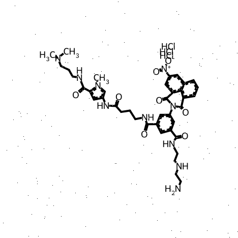 CN(C)CCCNC(=O)c1cc(NC(=O)CCCNC(=O)c2cc(C(=O)NCCNCCN)cc(N3C(=O)c4cccc5cc([N+](=O)[O-])cc(c45)C3=O)c2)cn1C.Cl.Cl.Cl